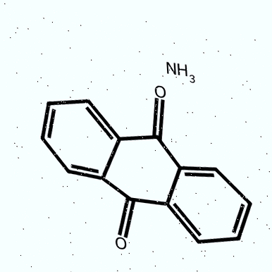 N.O=C1c2ccccc2C(=O)c2ccccc21